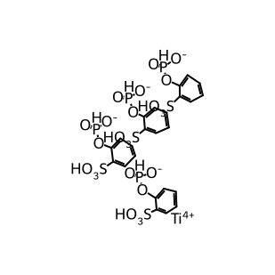 O=[PH]([O-])Oc1ccccc1S(=O)(=O)O.O=[PH]([O-])Oc1ccccc1S(=O)(=O)O.O=[PH]([O-])Oc1ccccc1S(=O)(=O)O.O=[PH]([O-])Oc1ccccc1S(=O)(=O)O.[Ti+4]